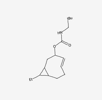 CCC1C2CC/C=C/C(OC(=O)NCC(C)(C)C)CC12